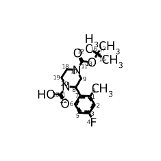 Cc1cc(F)ccc1C1CN(C(=O)OC(C)(C)C)CCN1C(=O)O